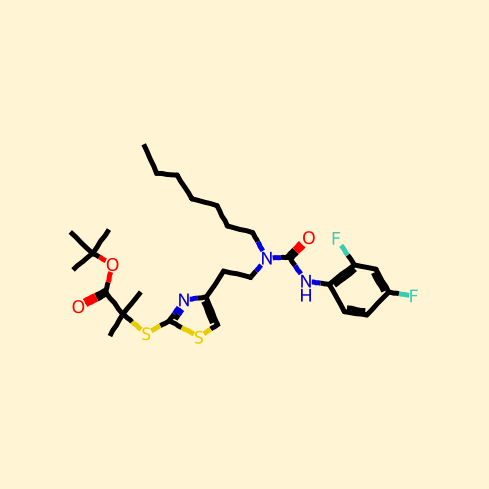 CCCCCCCN(CCc1csc(SC(C)(C)C(=O)OC(C)(C)C)n1)C(=O)Nc1ccc(F)cc1F